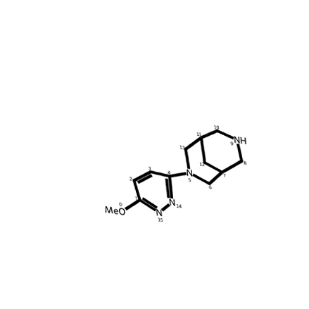 COc1ccc(N2CC3CNCC(C3)C2)nn1